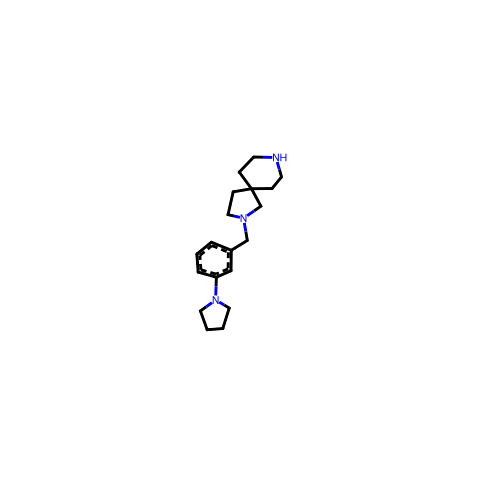 c1cc(CN2CCC3(CCNCC3)C2)cc(N2CCCC2)c1